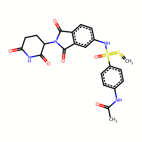 C=S=S(=O)(Nc1ccc2c(c1)C(=O)N(C1CCC(=O)NC1=O)C2=O)c1ccc(NC(C)=O)cc1